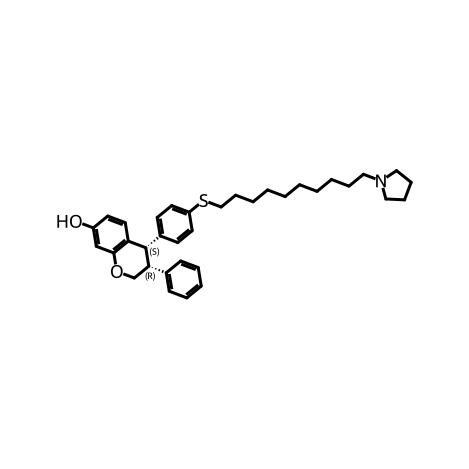 Oc1ccc2c(c1)OC[C@@H](c1ccccc1)[C@H]2c1ccc(SCCCCCCCCCCN2CCCC2)cc1